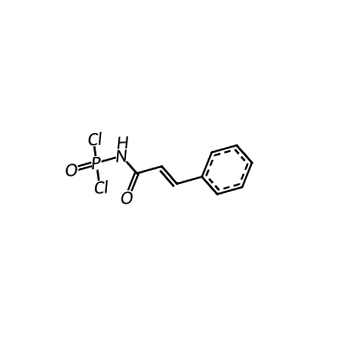 O=C(/C=C/c1ccccc1)NP(=O)(Cl)Cl